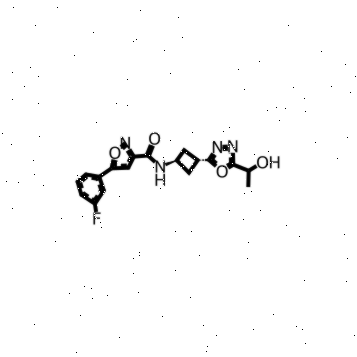 CC(O)c1nnc([C@H]2C[C@H](NC(=O)c3cc(-c4cccc(F)c4)on3)C2)o1